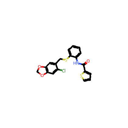 O=C(Nc1ccccc1SCc1cc2c(cc1Cl)OCO2)c1cccs1